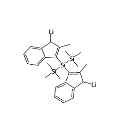 [Li][CH]1C(C)=C([Si](C2=C(C)[CH]([Li])c3ccccc32)([Si](C)(C)C)[Si](C)(C)C)c2ccccc21